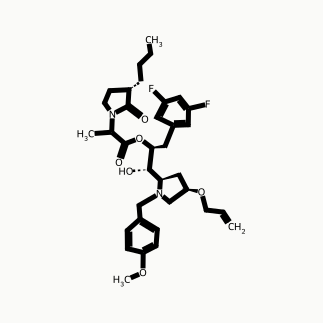 C=CCO[C@@H]1C[C@H]([C@H](O)[C@H](Cc2cc(F)cc(F)c2)OC(=O)C(C)N2CC[C@H](CCCC)C2=O)N(Cc2ccc(OC)cc2)C1